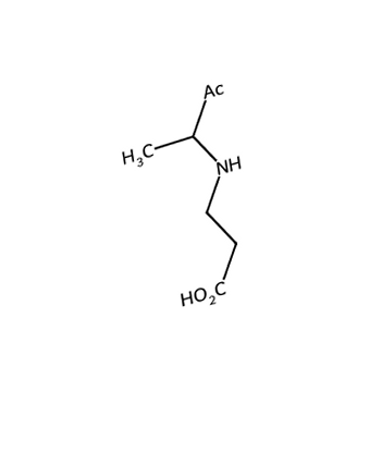 CC(=O)C(C)NCCC(=O)O